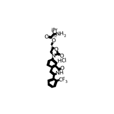 CC(C)[C@H](N)C(=O)OC[C@H]1CN(c2ccc3cc(-c4ccccc4C(F)(F)F)[nH]c(=O)c3c2)C(=O)O1.Cl